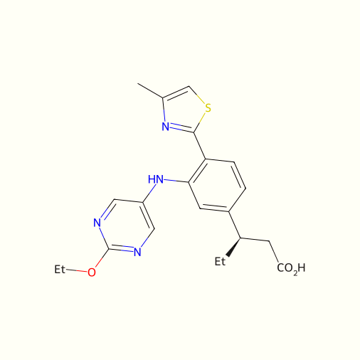 CCOc1ncc(Nc2cc([C@H](CC)CC(=O)O)ccc2-c2nc(C)cs2)cn1